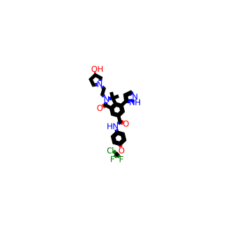 CC1(C)c2c(cc(C(=O)Nc3ccc(OC(F)(F)Cl)cc3)cc2-c2ccn[nH]2)C(=O)N1CCN1CC[C@@H](O)C1